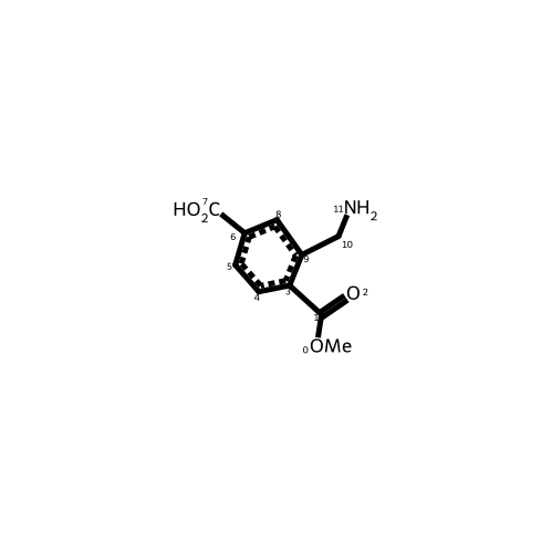 COC(=O)c1ccc(C(=O)O)cc1CN